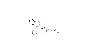 C/C(=C(/C#N)C(=O)NCC(O)C(O)CO)c1ccc2ccccc2c1N1CCCC1